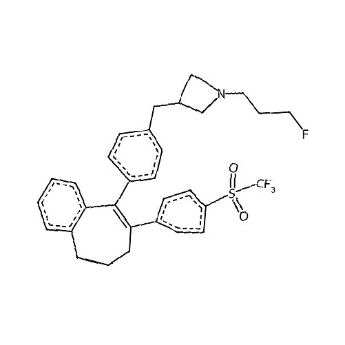 O=S(=O)(c1ccc(C2=C(c3ccc(CC4CN(CCCF)C4)cc3)c3ccccc3CCC2)cc1)C(F)(F)F